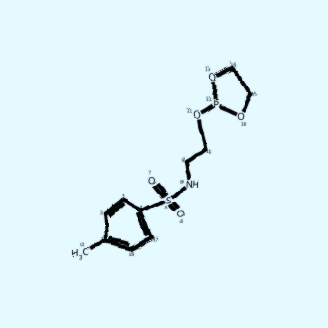 Cc1ccc(S(=O)(=O)NCCOP2OCCO2)cc1